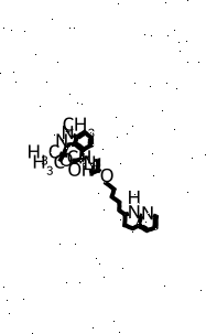 Cn1nc(C(C)(C)C)c2c(C(C(=O)O)N3CC(OCCCCCC4CCc5cccnc5N4)C3)cccc21